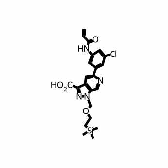 C=CC(=O)Nc1cc(Cl)cc(-c2cc3c(C(=O)O)nn(COCC[Si](C)(C)C)c3cn2)c1